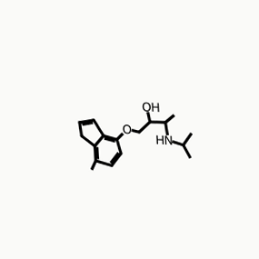 Cc1ccc(OCC(O)C(C)NC(C)C)c2c1CC=C2